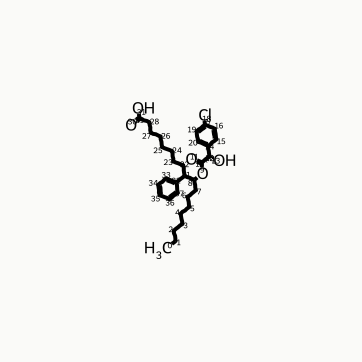 CCCCCCCCC(OC(=O)[C@H](O)c1ccc(Cl)cc1)C(CCCCCCCC(=O)O)c1ccccc1